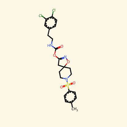 Cc1ccc(S(=O)(=O)N2CCC3(CC2)CC(OC(=O)NCCc2ccc(Cl)c(Cl)c2)=NO3)cc1